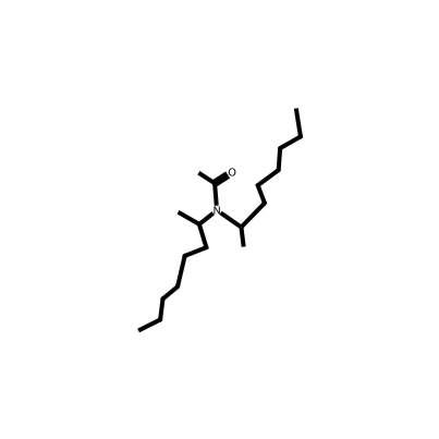 CCCCCCC(C)N(C(C)=O)C(C)CCCCCC